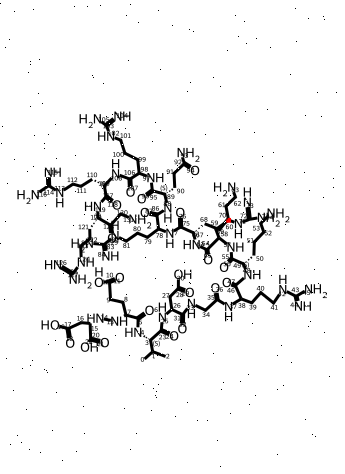 CC(C)[C@H](NC(=O)C(CCC(=O)O)NNC(CC(=O)O)C(=O)O)C(=O)NC(CC(=O)O)C(=O)NCC(=O)NC(CCCNC(=N)N)C(=O)N[C@@H](CCCCN)C(=O)NC(CCCCN)C(=O)N[C@@H](CCCNC(=N)N)C(=O)NC(CCCNC(=N)N)C(=O)N[C@@H](CCC(N)=O)C(=O)NC(CCCNC(=N)N)C(=O)N[C@@H](CCCNC(=N)N)C(=O)N[C@@H](CCCNC(=N)N)C(=O)CN